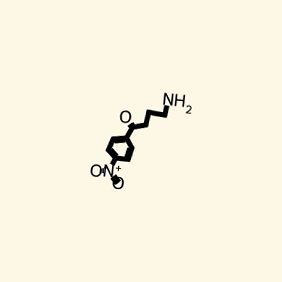 NCCCC(=O)c1ccc([N+](=O)[O-])cc1